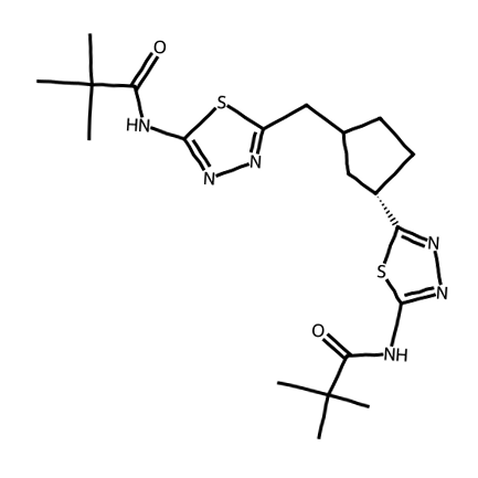 CC(C)(C)C(=O)Nc1nnc(CC2CC[C@H](c3nnc(NC(=O)C(C)(C)C)s3)C2)s1